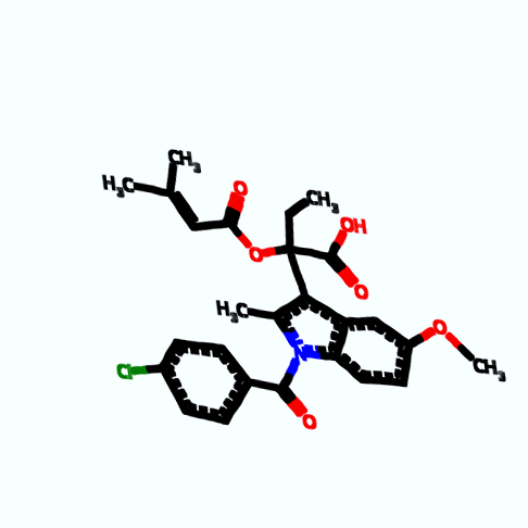 CCC(OC(=O)C=C(C)C)(C(=O)O)c1c(C)n(C(=O)c2ccc(Cl)cc2)c2ccc(OC)cc12